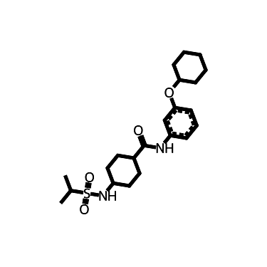 CC(C)S(=O)(=O)NC1CCC(C(=O)Nc2cccc(OC3CCCCC3)c2)CC1